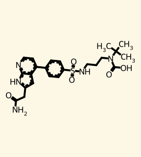 CC(C)(C)N(CCCNS(=O)(=O)c1ccc(-c2ccnc3[nH]c(CC(N)=O)cc23)cc1)C(=O)O